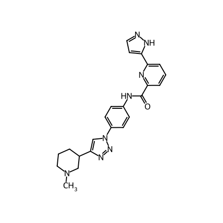 CN1CCCC(c2cn(-c3ccc(NC(=O)c4cccc(-c5ccn[nH]5)n4)cc3)nn2)C1